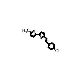 Cc1ccc(-c2ccc(/C=C/c3ccc(Cl)cc3)s2)s1